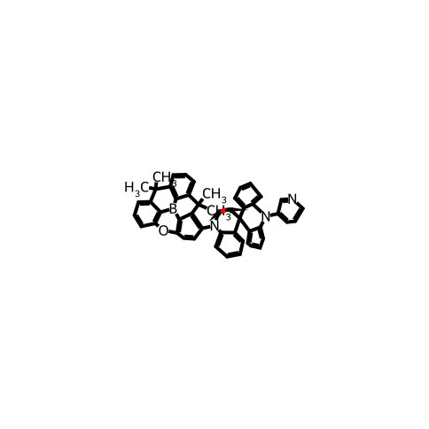 CC1(C)c2cccc3c2B2c4c1cccc4C(C)(C)c1c(N4c5ccccc5C5(c6ccccc6N(c6cccnc6)c6ccccc65)c5ccccc54)ccc(c12)O3